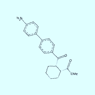 COC(=O)[C@@H]1CCCC[C@@H]1C(=O)c1ccc(-c2ccc(N)cc2)cc1